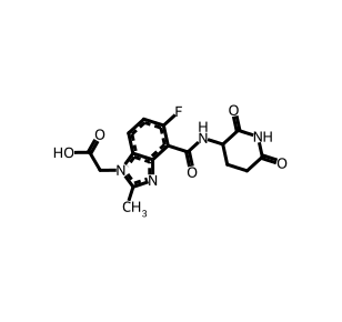 Cc1nc2c(C(=O)NC3CCC(=O)NC3=O)c(F)ccc2n1CC(=O)O